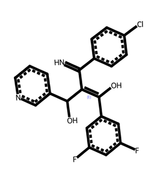 N=C(/C(=C(\O)c1cc(F)cc(F)c1)C(O)c1cccnc1)c1ccc(Cl)cc1